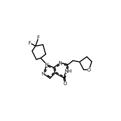 O=c1[nH]c(CC2CCOC2)nc2c1cnn2C1CCC(F)(F)CC1